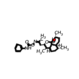 C/C(C[C@H]1O[C@@H]2O[C@]3(C)CC[C@H]4[C@H](C)CC[C@@H]([C@H]1C)[C@@]24OO3)=N/OC(=O)Nc1ccccc1